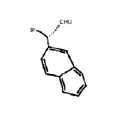 O=C[C@@H](Br)c1ccc2ccccc2c1